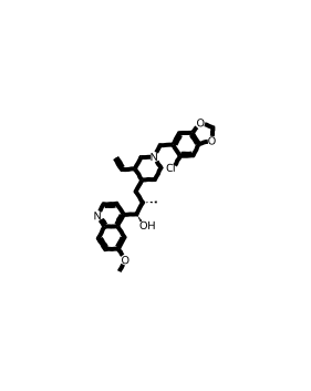 C=CC1CN(Cc2cc3c(cc2Cl)OCO3)CCC1C[C@H](C)[C@H](O)c1ccnc2ccc(OC)cc12